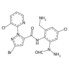 NCc1cc(Cl)cc(N(N)C=O)c1NC(=O)c1cc(Br)nn1-c1ncccc1Cl